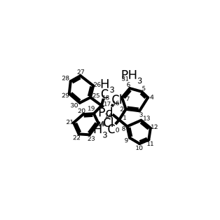 C[C](c1ccccc1)(c1ccccc1)[Pd]([Cl])([Cl])[C](C)(c1ccccc1)c1ccccc1.P